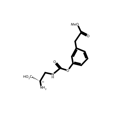 COC(=O)Cc1cccc(OC(=O)NC[C@H](N)C(=O)O)c1